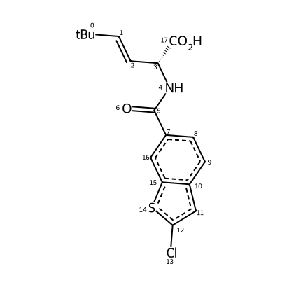 CC(C)(C)/C=C/[C@@H](NC(=O)c1ccc2cc(Cl)sc2c1)C(=O)O